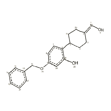 ON=C1CCC(c2ccc(OCc3ccccc3)cc2O)CC1